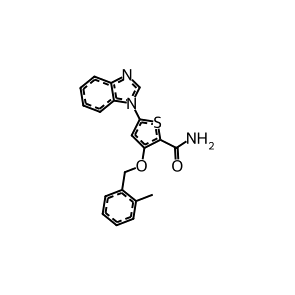 Cc1ccccc1COc1cc(-n2cnc3ccccc32)sc1C(N)=O